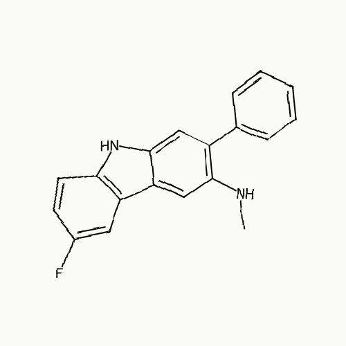 CNc1cc2c(cc1-c1ccccc1)[nH]c1ccc(F)cc12